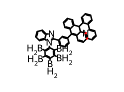 Bc1c(B)c(B)c(-n2c(-c3cccc(C4=C5C=CC=CC5C(c5ccccc5-c5ccccn5)c5ccccc54)c3)nc3ccccc32)c(B)c1B